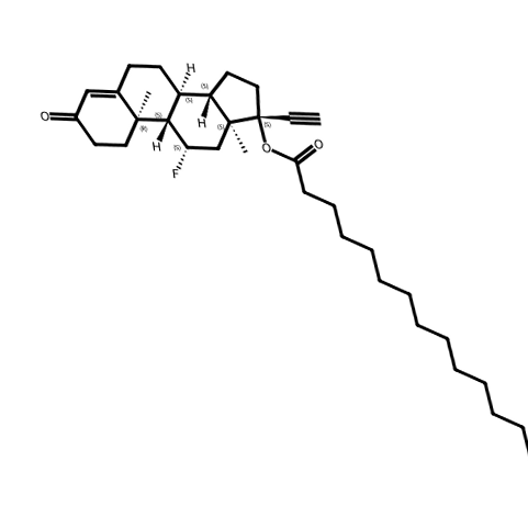 C#C[C@]1(OC(=O)CCCCCCCCCCCCCCC)CC[C@H]2[C@@H]3CCC4=CC(=O)CC[C@]4(C)[C@H]3[C@@H](F)C[C@@]21C